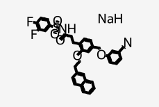 N#Cc1cccc(OCc2ccc(CCC(=O)NS(=O)(=O)c3ccc(F)c(F)c3)c(OCCc3ccc4ccccc4c3)c2)c1.[NaH]